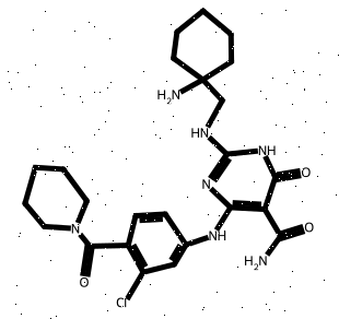 NC(=O)c1c(Nc2ccc(C(=O)N3CCCCC3)c(Cl)c2)nc(NCC2(N)CCCCC2)[nH]c1=O